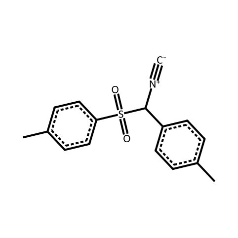 [C-]#[N+]C(c1ccc(C)cc1)S(=O)(=O)c1ccc(C)cc1